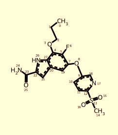 CCCOc1c(F)c(Oc2ccc(S(C)(=O)=O)nc2)cc2cc(C(N)=O)[nH]c12